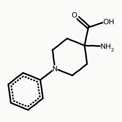 NC1(C(=O)O)CCN(c2ccccc2)CC1